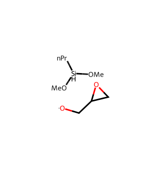 CCC[SiH](OC)OC.[O]CC1CO1